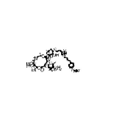 CC[C@H]1OC(=O)[C@H](C)[C@@H](C2C[C@@](C)(OC)[C@@H](O)[C@H](C)O2)[C@H](C)[C@@H](O[C@@H]2O[C@H](C)C[C@H](N(C)CCc3cn(CCCCc4ccc(N=[N+]=[N-])cc4)nn3)[C@H]2O)[C@](C)(O)C[C@@H](C)CN(C)[C@H](C)[C@@H](O)[C@]1(C)O